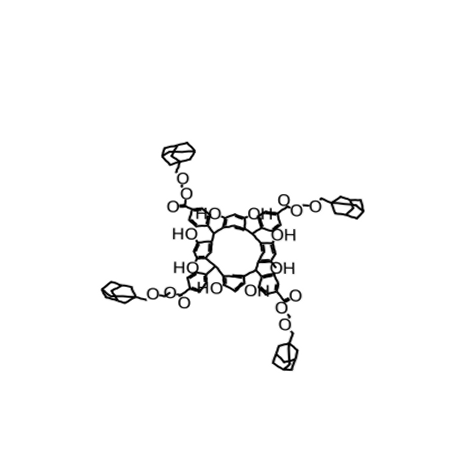 O=C(OCOCC12CC3CC(CC(C3)C1)C2)c1ccc(C2c3cc(c(O)cc3O)C(c3ccc(C(=O)OCOCC45CC6CC(CC(C6)C4)C5)cc3)c3cc(c(O)cc3O)C(c3ccc(C(=O)OCOCC45CC6CC(CC(C6)C4)C5)cc3)c3cc(c(O)cc3O)C(c3ccc(C(=O)OCOCC45CC6CC(CC(C6)C4)C5)cc3)c3cc2c(O)cc3O)cc1